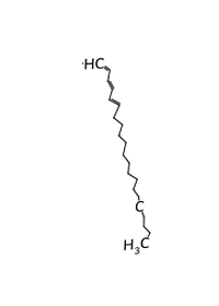 [CH]=CC=CC=CCCCCCCCCCCCCCCC